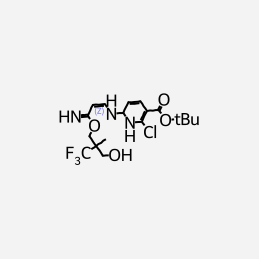 CC(C)(C)OC(=O)C1=C(Cl)NC(N/C=C\C(=N)OCC(C)(CO)C(F)(F)F)C=C1